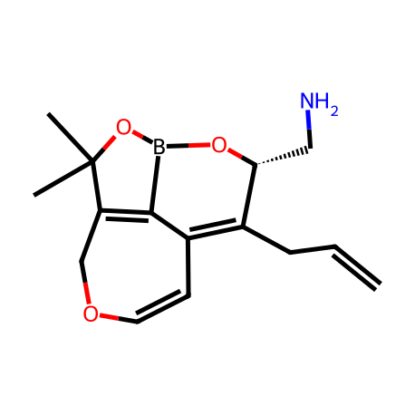 C=CCC1=C2C=COCC3=C2B(O[C@@H]1CN)OC3(C)C